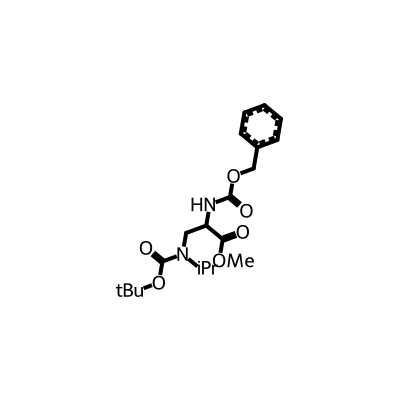 COC(=O)C(CN(C(=O)OC(C)(C)C)C(C)C)NC(=O)OCc1ccccc1